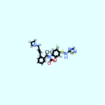 C[C@H](c1ccccc1C#CCN1CCC1)n1c(=O)oc2cc(SNc3ncns3)c(F)cc21